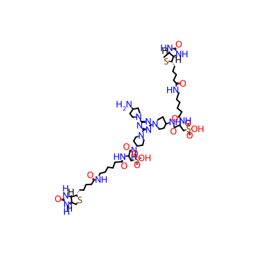 NC1CCN(c2nc(N3CCC(NC(=O)C(CS(=O)(=O)O)NC(=O)CCCCCNC(=O)CCCC[C@@H]4SC[C@@H]5NC(=O)N[C@@H]54)CC3)nc(N3CCC(NC(=O)C(CS(=O)(=O)O)NC(=O)CCCCCNC(=O)CCCC[C@@H]4SC[C@H]5NC(=O)N[C@@H]45)CC3)n2)CC1